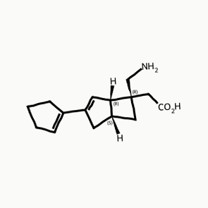 NC[C@@]1(CC(=O)O)C[C@@H]2CC(C3=CCCC3)=C[C@@H]21